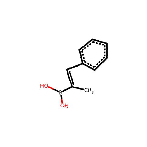 C/C(=C\c1ccccc1)B(O)O